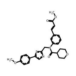 COC(=O)/C=C/c1cccc(N(Cc2ncc(-c3ccc(OC)cc3)s2)C(=O)C2CCOCC2)c1